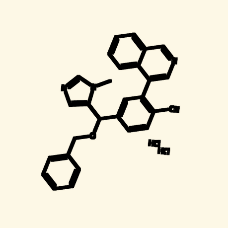 Cl.Cl.Cn1cncc1C(OCc1ccccc1)c1ccc(C#N)c(-c2cncc3ccccc23)c1